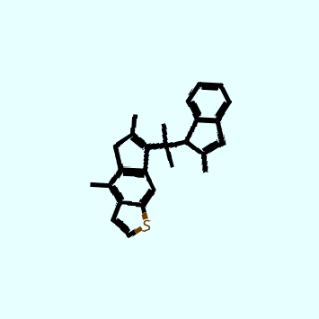 CC1=Cc2ccccc2C1C(C)(C)C1=C(C)Cc2c1cc1sccc1c2C